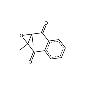 CC12OC1(C)C(=O)c1ccccc1C2=O